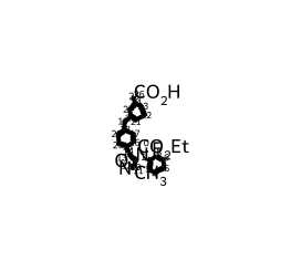 CCOC(=O)N(c1ccccc1F)c1c(C)noc1-c1ccc(Cc2cccc(CC(=O)O)c2)cc1